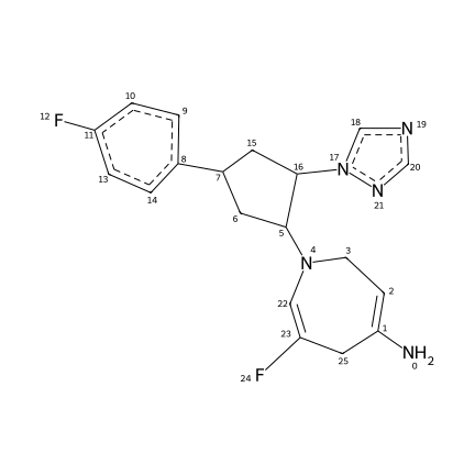 NC1=CCN(C2CC(c3ccc(F)cc3)CC2n2cncn2)C=C(F)C1